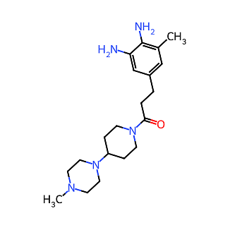 Cc1cc(CCC(=O)N2CCC(N3CCN(C)CC3)CC2)cc(N)c1N